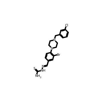 NC(=S)NN=Cc1ccc(N2CCN(Cc3cccc(Cl)c3)CC2)c(Br)c1